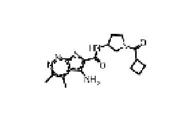 Cc1nnc2sc(C(=O)NC3CCN(C(=O)C4CCC4)C3)c(N)c2c1C